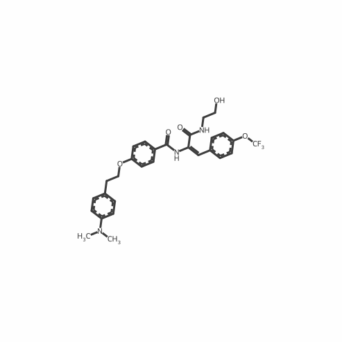 CN(C)c1ccc(CCOc2ccc(C(=O)NC(=Cc3ccc(OC(F)(F)F)cc3)C(=O)NCCO)cc2)cc1